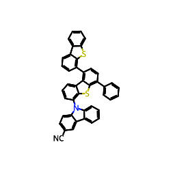 N#Cc1ccc2c(c1)c1ccccc1n2-c1cccc2c1sc1c(-c3ccccc3)ccc(-c3cccc4c3sc3ccccc34)c12